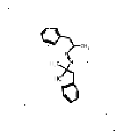 CC(Cc1ccccc1)N=NC(C)(O)Cc1ccccc1